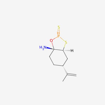 C=C(C)[C@@H]1CC[C@]2(N)O[PH](=S)S[C@H]2C1